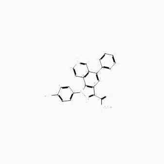 COC(=O)c1nn(-c2ccc(F)cc2)c2c1cc(-c1ccccc1)c1cnccc12